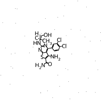 CC(C)(CO)Nc1nc(-c2ccc(Cl)c(Cl)c2)c2c(N)c(C(N)=O)sc2n1